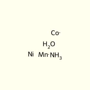 N.O.[Co].[Mn].[Ni]